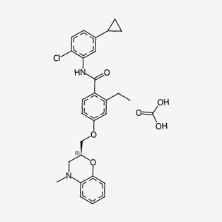 CCc1cc(OC[C@@H]2CN(C)c3ccccc3O2)ccc1C(=O)Nc1cc(C2CC2)ccc1Cl.O=C(O)O